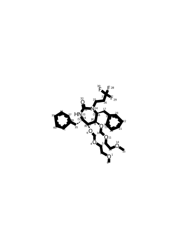 COCCOCO[C@H]1[C@H](OCOCCOC)[C@H](Cc2ccccc2)N(CCC(F)(F)F)C(=O)N[C@H]1Cc1ccccc1